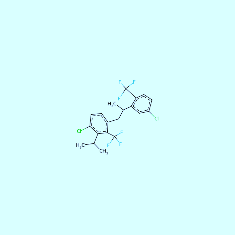 CC(C)c1c(Cl)ccc(CC(C)c2cc(Cl)ccc2C(F)(F)F)c1C(F)(F)F